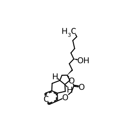 CCCCC[C@@H](O)CC[C@]12C[C@H]3Cc4cccc(c4C[C@H]3C1)OCC(=O)O2